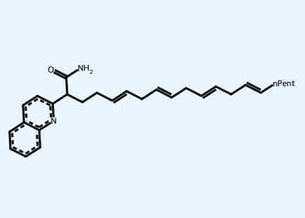 CCCCCC=CCC=CCC=CCC=CCCC(C(N)=O)c1ccc2ccccc2n1